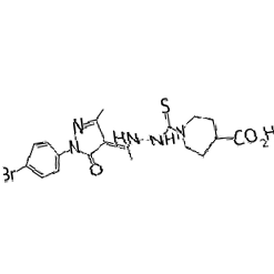 CC1=NN(c2ccc(Br)cc2)C(=O)C1=C(C)NNC(=S)N1CCC(C(=O)O)CC1